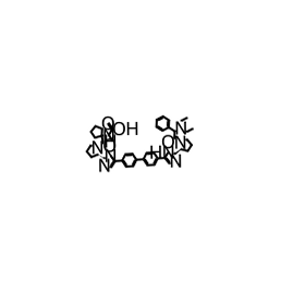 CCN(CC)[C@@H](C(=O)N1CCC[C@H]1c1ncc(-c2ccc(-c3ccc(-c4cnc([C@@H]5CCCN5C(=O)C5(N(C)C(=O)O)CCCC5)[nH]4)cc3)cc2)[nH]1)c1ccccc1